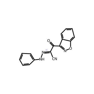 N#C/C(=N\Nc1ccccc1)C(=O)c1noc2ccccc12